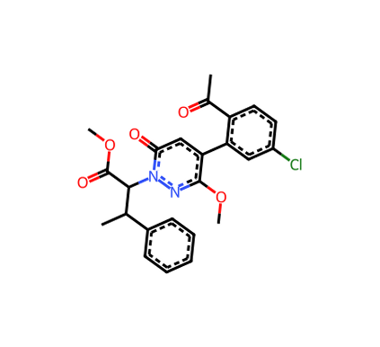 COC(=O)C(C(C)c1ccccc1)n1nc(OC)c(-c2cc(Cl)ccc2C(C)=O)cc1=O